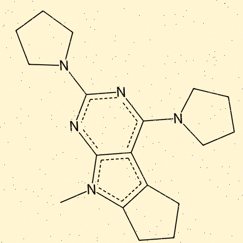 Cn1c2c(c3c(N4CCCC4)nc(N4CCCC4)nc31)CCC2